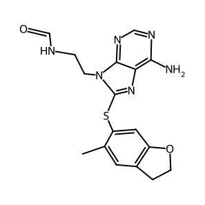 Cc1cc2c(cc1Sc1nc3c(N)ncnc3n1CCNC=O)OCC2